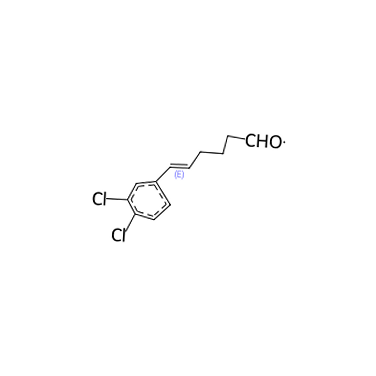 O=[C]CCC/C=C/c1ccc(Cl)c(Cl)c1